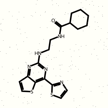 O=C(NCCNc1nc(-c2nccs2)c2sccc2n1)C1CCCCC1